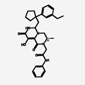 CCc1cccc(C2(CC3NC(=O)C(O)=C4C(=O)N(CC(=O)Nc5ccccc5)[C@@H](C)CN43)CCCC2)c1